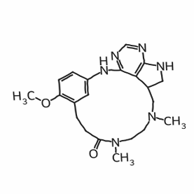 COc1ccc2cc1CCC(=O)N(C)CCN(C)CC1CNc3ncnc(c31)N2